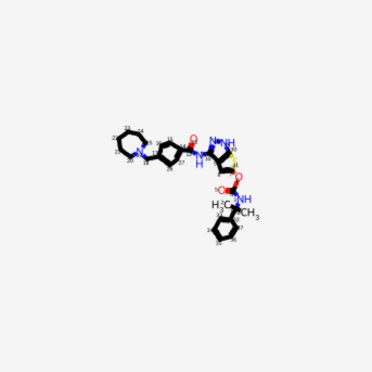 CC(C)(NC(=O)Oc1cc2c(NC(=O)c3ccc(CN4CCCCCC4)cc3)n[nH]c2s1)c1ccccc1